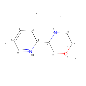 C1=CCC(C2COCC[N]2)N=C1